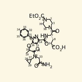 CCOC(=O)N1CCN(C(=O)[C@H](CCC(=O)O)NC(=O)c2cc(OC(C)C(=O)N(CC(N)=O)C3CC3)n(-c3ccccc3)n2)CC1